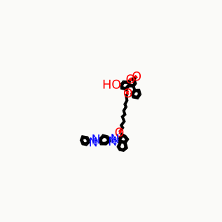 O=c1cc(-c2ccccc2)c2c(OCCCCCCCCCCOc3ccc4ccccc4c3/N=N/c3ccc(/N=N/c4ccccc4)cc3)cc(O)cc2o1